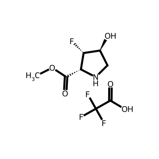 COC(=O)[C@H]1NC[C@H](O)[C@H]1F.O=C(O)C(F)(F)F